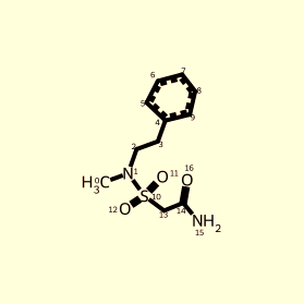 CN(CCc1ccccc1)S(=O)(=O)CC(N)=O